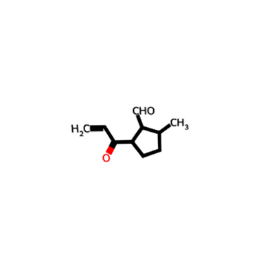 C=CC(=O)C1CCC(C)C1C=O